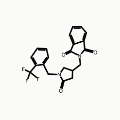 O=C1CC(CN2C(=O)c3ccccc3C2=O)CN1Cc1ccccc1C(F)(F)F